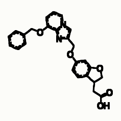 O=C(O)CC1COc2cc(OCc3cn4cccc(OCc5ccccc5)c4n3)ccc21